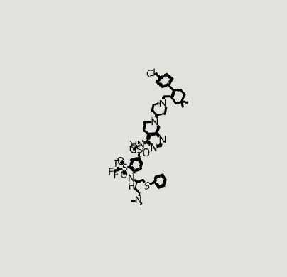 CN(C)CC[C@H](CSc1ccccc1)Nc1ccc(S(=O)(=O)Nc2ncnc3c2CCN(C2CCN(CC4=C(c5ccc(Cl)cc5)CCC(C)(C)C4)CC2)C3)cc1S(=O)(=O)C(F)(F)F